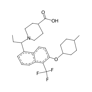 CCC(c1cccc2c(C(F)(F)F)c(OC3CCC(C)CC3)ccc12)N1CCC(C(=O)O)CC1